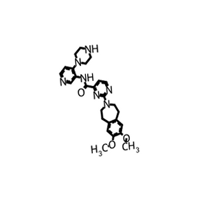 COc1cc2c(cc1OC)CCN(c1nccc(C(=O)Nc3cnccc3N3CCNCC3)n1)CC2